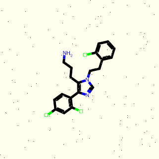 NCCCc1c(-c2ccc(Cl)cc2Cl)ncn1CCc1ccccc1Cl